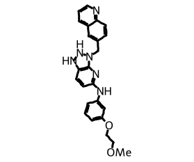 COCCOc1cccc(Nc2ccc3c(n2)N(Cc2ccc4ncccc4c2)NN3)c1